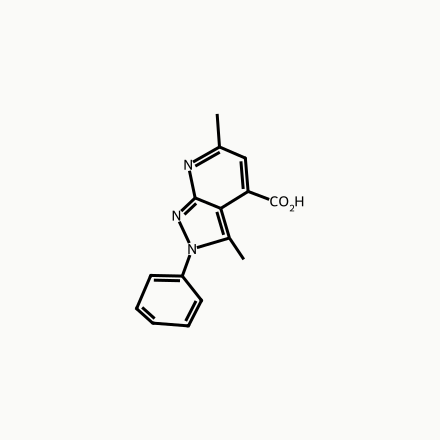 Cc1cc(C(=O)O)c2c(C)n(-c3ccccc3)nc2n1